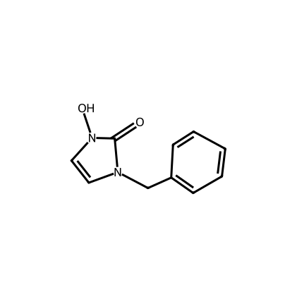 O=c1n(O)ccn1Cc1ccccc1